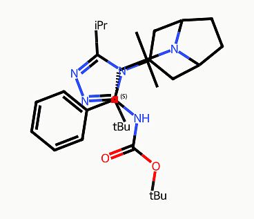 CC(C)c1nnc(C(C)(C)C)n1C1CC2CCC(C1)N2C(C)(C)C[C@H](NC(=O)OC(C)(C)C)c1ccccc1